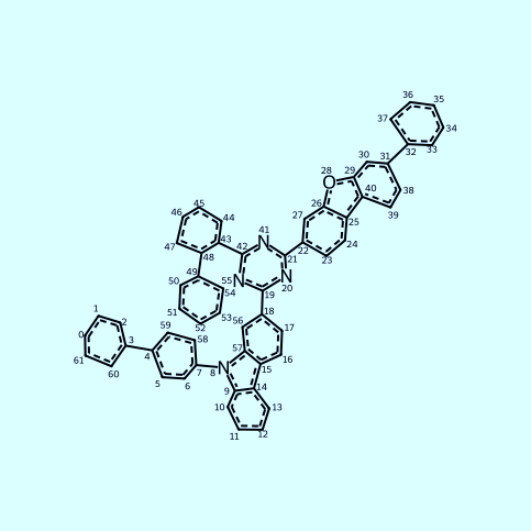 c1ccc(-c2ccc(-n3c4ccccc4c4ccc(-c5nc(-c6ccc7c(c6)oc6cc(-c8ccccc8)ccc67)nc(-c6ccccc6-c6ccccc6)n5)cc43)cc2)cc1